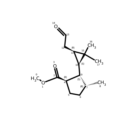 COC(=O)[C@@H]1CC[C@@H](C)[C@H]1[C@H]1[C@@H](CC=O)C1(C)C